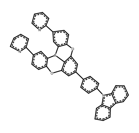 c1ccc(-c2ccc3c(c2)B2c4cc(-c5ccccn5)ccc4Oc4cc(-c5ccc(-n6c7ccccc7c7ccccc76)cc5)cc(c42)O3)nc1